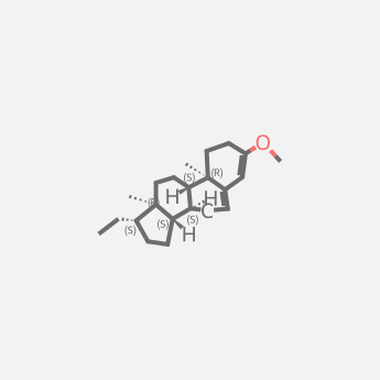 CC[C@H]1CC[C@H]2[C@@H]3CC=C4C=C(OC)CC[C@]4(C)[C@H]3CC[C@]12C